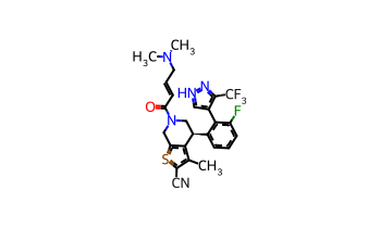 Cc1c(C#N)sc2c1[C@H](c1cccc(F)c1-c1c[nH]nc1C(F)(F)F)CN(C(=O)/C=C/CN(C)C)C2